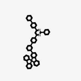 c1ccc(-c2ccc(-c3cc(-c4ccc(-c5cccc(-c6ccc7c(c6)C6(c8ccccc8-c8ccccc86)c6ccccc6-7)c5)cc4)nc(-c4ccccc4)n3)cc2)cc1